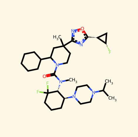 CC(C)N1CCN([C@H]2CCCC(F)(F)[C@@H]2N(C)C(=O)N2CCC(C)(c3noc([C@@H]4C[C@@H]4F)n3)CC2C2CCCCC2)CC1